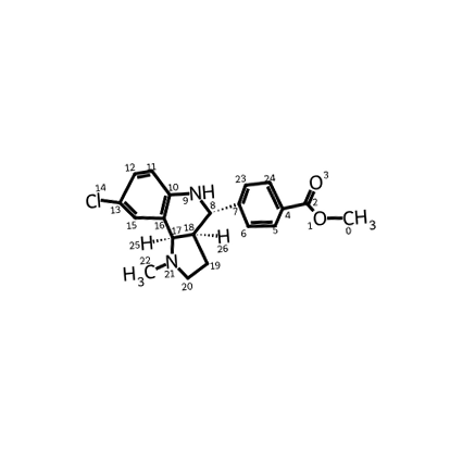 COC(=O)c1ccc([C@H]2Nc3ccc(Cl)cc3[C@H]3[C@@H]2CCN3C)cc1